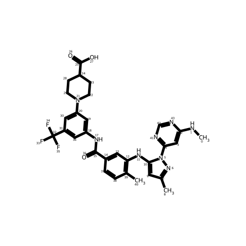 CNc1cc(-n2nc(C)cc2Nc2cc(C(=O)Nc3cc(N4CCC(C(=O)O)CC4)cc(C(F)(F)F)c3)ccc2C)ncn1